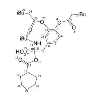 CCC(C)CC(=O)Oc1ccc(C[C@](NC(C)CC)(OC(=O)C2CCCCC2)C(=O)O)cc1OC(=O)CC(C)CC